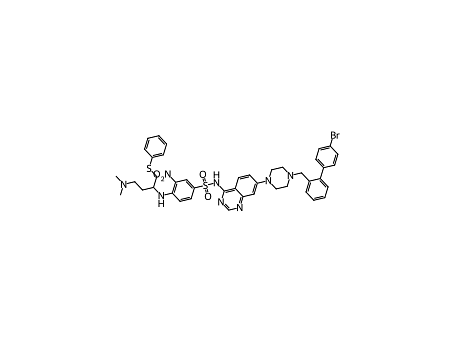 CN(C)CCC(CSc1ccccc1)Nc1ccc(S(=O)(=O)Nc2ncnc3cc(N4CCN(Cc5ccccc5-c5ccc(Br)cc5)CC4)ccc23)cc1[N+](=O)[O-]